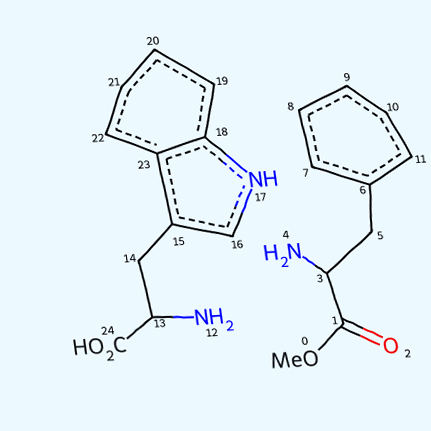 COC(=O)C(N)Cc1ccccc1.NC(Cc1c[nH]c2ccccc12)C(=O)O